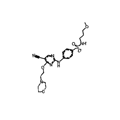 COCCCNS(=O)(=O)c1ccc(Nc2ncc(C#N)c(OCCN3CCOCC3)n2)cc1